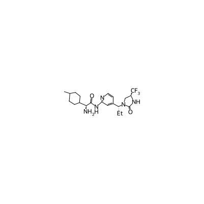 CC[C@H](c1ccnc(NC(=O)[C@@H](N)C2CCC(C)CC2)c1)N1C[C@@H](C(F)(F)F)NC1=O